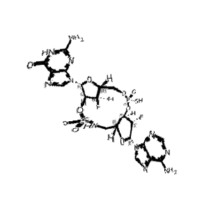 Nc1nc2c(ncn2[C@@H]2O[C@@H]3CO[P@](=O)(S)O[C@H]4[C@H](F)[C@H](n5cnc6c(N)ncnc65)O[C@@H]4CNS(=O)(=O)O[C@@H]2[C@@H]3F)c(=O)[nH]1